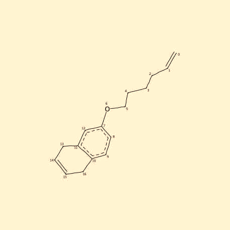 C=CCCCCOc1ccc2c(c1)CC=[C]C2